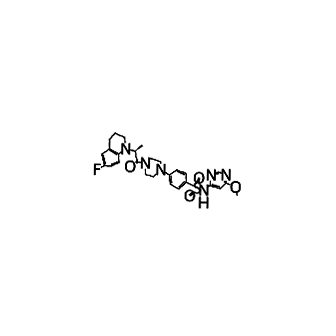 COc1cc(NS(=O)(=O)c2ccc(N3CCN(C(=O)[C@H](C)N4CCCc5cc(F)ccc54)CC3)cc2)ncn1